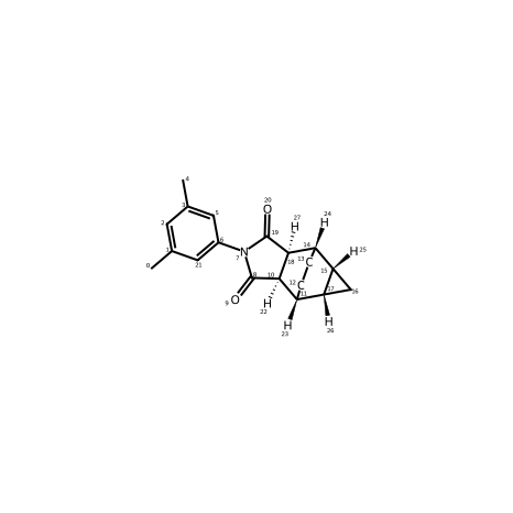 Cc1cc(C)cc(N2C(=O)[C@@H]3[C@@H]4CC[C@@H]([C@@H]5C[C@@H]54)[C@@H]3C2=O)c1